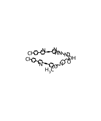 Cc1cc(C#Cc2ccc(-c3ccc(Cl)cc3)cn2)ccc1OCCN1CCC(CC(=O)O)CC1.Clc1ccc(-c2ccc(C#Cc3ccc(CNCCN4CCCC4)nc3)nc2)cc1